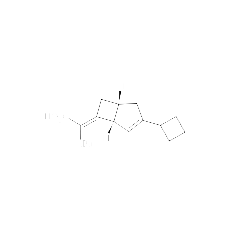 CC(C)(C)/C(C(=O)O)=C1/C[C@@H]2CC(C3CCC3)=C[C@H]12